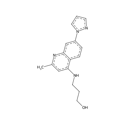 Cc1cc(NCCCO)c2ccc(-n3cccn3)cc2n1